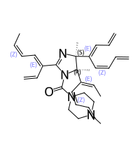 C=C/C=C\C(=C/C=C)[C@]1(C)N=C(/C(C=C)=C/C=C\C)N(C(=O)N2CCN(C)CC2)[C@]1(C)C(/C=C\C=C)=C/C